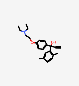 C#CC(O)(c1ccc(OCCN(CC)CC)cc1)c1cc(C)ccc1C